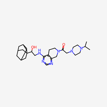 CC(C)N1CCN(CC(=O)N2CCc3c(ncnc3NCC(O)C34CC5CC(CC(C5)C3)C4)C2)CC1